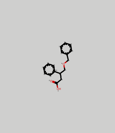 O=C(O)CC(COCc1ccccc1)c1ccccc1